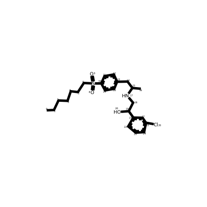 CCCCCCCS(=O)(=O)c1ccc(CC(C)NCC(O)c2cccc(Cl)c2)cc1